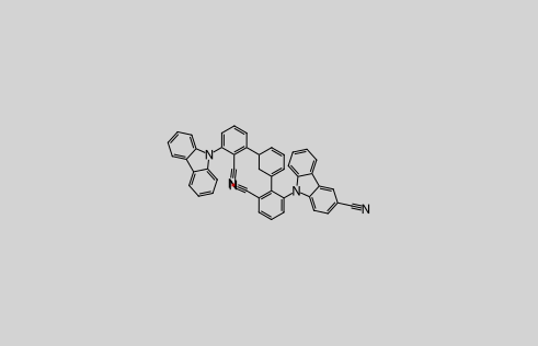 N#Cc1ccc2c(c1)c1ccccc1n2-c1cccc(C#N)c1C1=CC=CC(c2cccc(-n3c4ccccc4c4ccccc43)c2C#N)C1